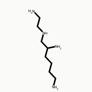 NCCCCC(N)CNCCN